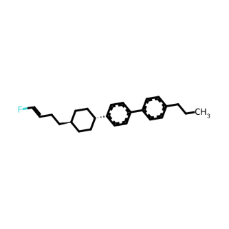 CCCc1ccc(-c2ccc([C@H]3CC[C@H](CCC=CF)CC3)cc2)cc1